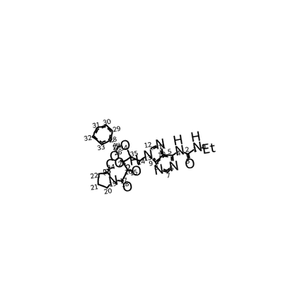 CCNC(=O)Nc1ncnc2c1ncn2C1OC(C(=O)N2CCC[C@H]2C(=O)O)C2O[C@H](c3ccccc3)OC21